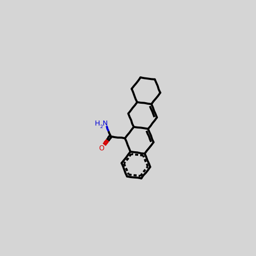 NC(=O)C1c2ccccc2C=C2C=C3CCCCC3CC21